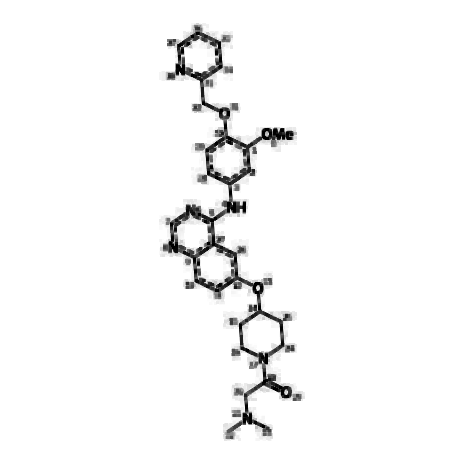 COc1cc(Nc2ncnc3ccc(OC4CCN(C(=O)CN(C)C)CC4)cc23)ccc1OCc1ccccn1